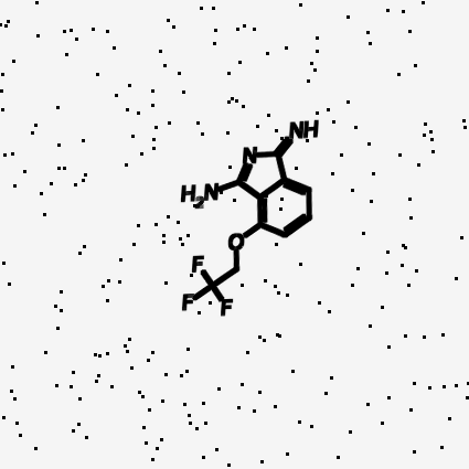 N=C1N=C(N)c2c(OCC(F)(F)F)cccc21